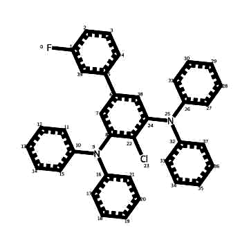 Fc1cccc(-c2cc(N(c3ccccc3)c3ccccc3)c(Cl)c(N(c3ccccc3)c3ccccc3)c2)c1